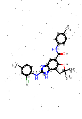 Cc1ccc(Nc2nc3cc(C(=O)Nc4ccc(C(F)(F)F)cc4)c4c(c3[nH]2)CC(C)(C)O4)c(Cl)c1